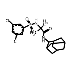 CC(C)(NS(=O)(=O)c1cc(Cl)cc(Cl)c1)C(=O)NC1C2CC3CC(C2)CC1C3